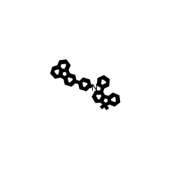 CC1(C)c2ccccc2-c2c1ccc1c2c2ccccc2n1-c1ccc(-c2ccc3c(c2)-c2cccc4cccc-3c24)cc1